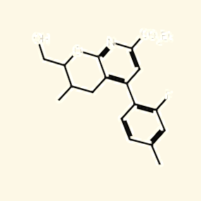 CCOC(=O)c1cc(-c2ccc(C)cc2F)c2c(n1)OC(CO)C(C)C2